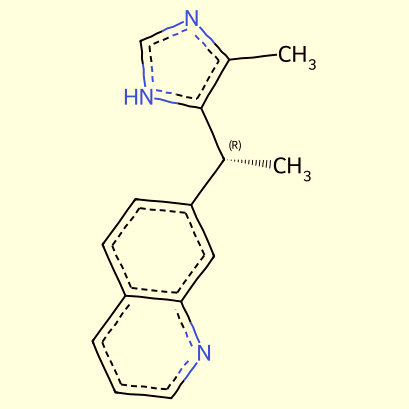 Cc1nc[nH]c1[C@H](C)c1ccc2cccnc2c1